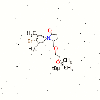 Cc1cc(N2C(=O)CCC2COCCO[Si](C)(C)C(C)(C)C)cc(C)c1Br